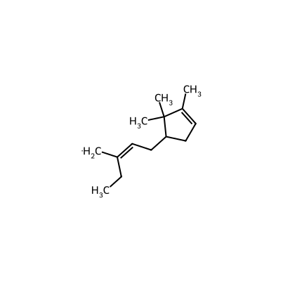 [CH2]/C(=C/CC1CC=C(C)C1(C)C)CC